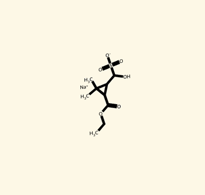 CCOC(=O)C1C(C(O)S(=O)(=O)[O-])C1(C)C.[Na+]